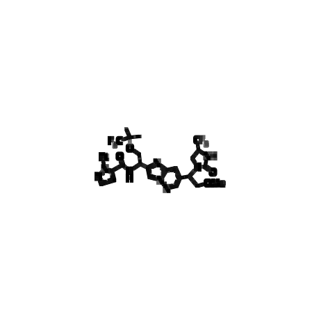 CCn1nccc1C(=O)NC(COC(C)(C)C(F)(F)F)c1cn2ncc(C(COC)N3CC(C(F)(F)F)NC3=O)cc2n1